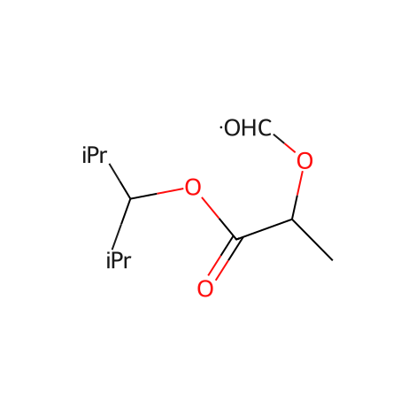 CC(O[C]=O)C(=O)OC(C(C)C)C(C)C